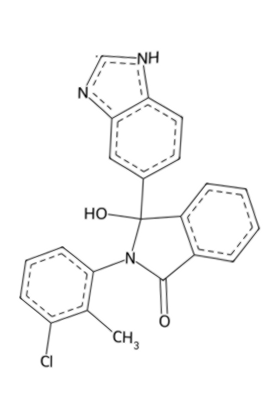 Cc1c(Cl)cccc1N1C(=O)c2ccccc2C1(O)c1ccc2[nH][c]nc2c1